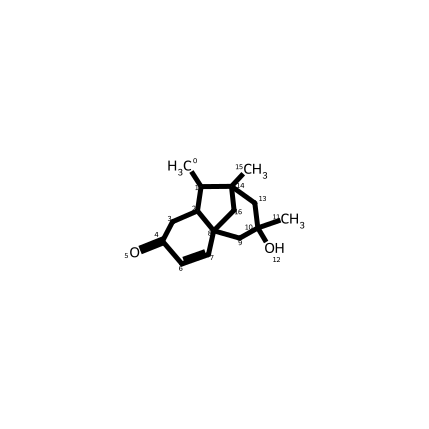 CC1C2CC(=O)C=CC23CC(C)(O)CC1(C)C3